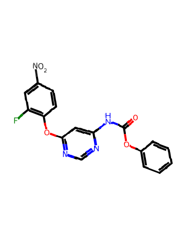 O=C(Nc1cc(Oc2ccc([N+](=O)[O-])cc2F)ncn1)Oc1ccccc1